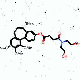 COc1cc2c(c(OC)c1OC)-c1ccc(OC(=O)CCC(=O)N(CCO)CCO)cc1[C@@H](NC(C)=O)CC2